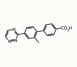 Cc1cc(-c2nccnn2)ccc1-c1ccc(C(=O)O)cc1